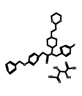 O=C(Cc1ccc(OCc2ccccc2)cc1)N(Cc1ccc(F)cc1)C1CCN(CCC2OCCCO2)CC1.O=C(O)C(O)C(O)C(=O)O